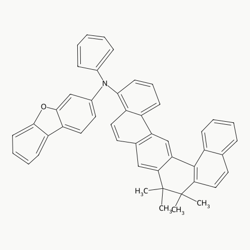 CC1(C)c2cc3ccc4c(N(c5ccccc5)c5ccc6c(c5)oc5ccccc56)cccc4c3cc2-c2c(ccc3ccccc23)C1(C)C